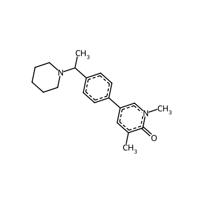 Cc1cc(-c2ccc(C(C)N3CCCCC3)cc2)cn(C)c1=O